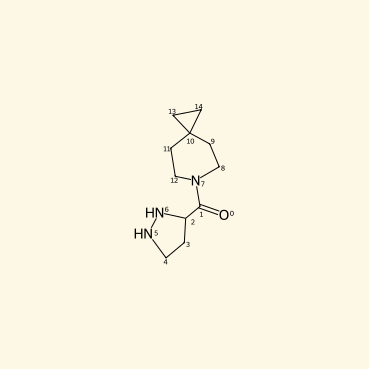 O=C(C1CCNN1)N1CCC2(CC1)CC2